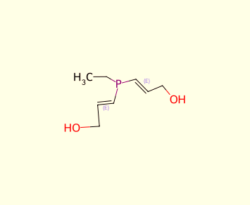 CCP(/C=C/CO)/C=C/CO